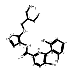 NCC(CCl)COc1sncc1NC(=O)c1ccc(F)c(-c2c(F)cccc2F)n1